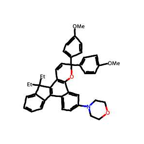 CCC1(CC)c2ccccc2-c2c1c1c(c3cc(N4CCOCC4)ccc23)OC(c2ccc(OC)cc2)(c2ccc(OC)cc2)C=C1